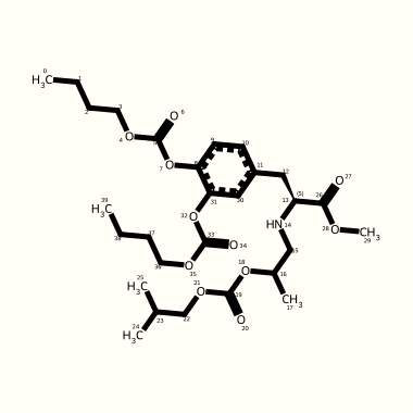 CCCCOC(=O)Oc1ccc(C[C@H](NCC(C)OC(=O)OCC(C)C)C(=O)OC)cc1OC(=O)OCCCC